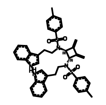 C=C1C(=C)[C@H](N(CCc2c[nH]c3ccccc23)S(=O)(=O)c2ccc(C)cc2)[C@H]1N(CCc1c[nH]c2ccccc12)S(=O)(=O)c1ccc(C)cc1